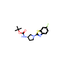 CC(C)(C)OC(=O)N[C@@H]1CCN(c2nc3ccc(F)cc3s2)C1